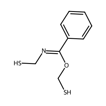 SC/N=C(\OCS)c1ccccc1